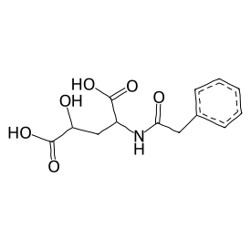 O=C(Cc1ccccc1)NC(CC(O)C(=O)O)C(=O)O